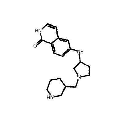 O=c1[nH]ccc2cc(NC3CCN(CC4CCCNC4)C3)ccc12